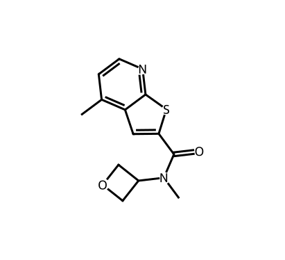 Cc1ccnc2sc(C(=O)N(C)C3COC3)cc12